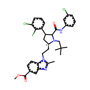 COC(=O)c1ccc2c(c1)nc(C)n2CC[C@H]1CC(c2cccc(Cl)c2F)C(C(=O)Nc2cccc(Cl)c2)N1CC(C)(C)C